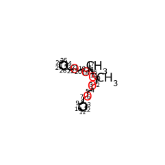 CC(COCCOCc1ccccc1)OCC(C)OCCOCc1ccccc1